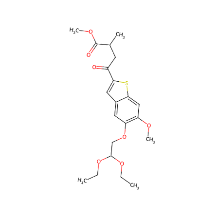 CCOC(COc1cc2cc(C(=O)CC(C)C(=O)OC)sc2cc1OC)OCC